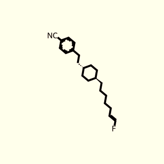 N#Cc1ccc(CC[C@H]2CC[C@H](CCCCC/C=C/F)CC2)cc1